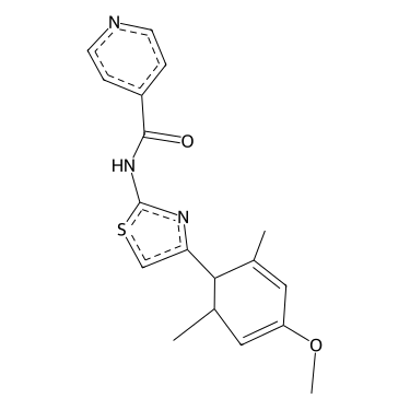 COC1=CC(C)C(c2csc(NC(=O)c3ccncc3)n2)C(C)=C1